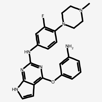 CN1CCN(c2ccc(Nc3nc(Oc4cccc(N)c4)c4cc[nH]c4n3)cc2F)CC1